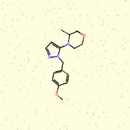 COc1ccc(Cn2nccc2N2CCOCC2C)cc1